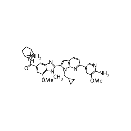 COc1cc(-c2ccc3cc(-c4nc5cc(C(=O)N6CC7CCC6[C@@H]7N)cc(OC)c5n4C)n(CC4CC4)c3n2)cnc1N